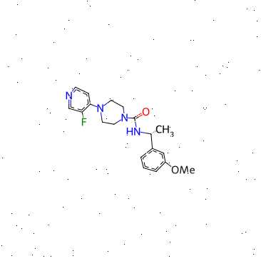 COc1cccc([C@@H](C)NC(=O)N2CCN(c3ccncc3F)CC2)c1